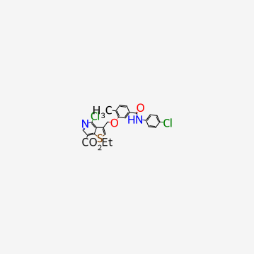 CCOC(=O)c1cnc(Cl)c2c(COc3cc(C(=O)Nc4ccc(Cl)cc4)ccc3C)csc12